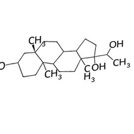 CC(O)C1(O)CCC2C3CC[C@@]4(C)CC(O)CCC4(C)C3CCC21C